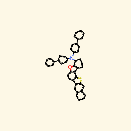 c1ccc(-c2ccc(N(c3ccc(-c4ccccc4)cc3)c3cccc4c3oc3ccc5c6cc7ccccc7cc6sc5c34)cc2)cc1